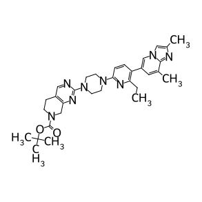 CCc1nc(N2CCN(c3ncc4c(n3)CN(C(=O)OC(C)(C)C)CC4)CC2)ccc1-c1cc(C)c2nc(C)cn2c1